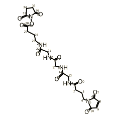 O=C(CCCN1C(=O)C=CC1=O)NCC(=O)NCC(=O)NCC(=O)NCCCC(=O)ON1C(=O)CCC1=O